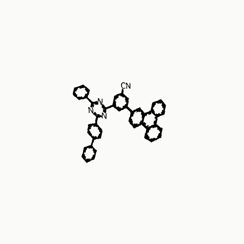 N#Cc1cc(-c2ccc3c4ccccc4c4ccccc4c3c2)cc(-c2nc(-c3ccccc3)nc(-c3ccc(-c4ccccc4)cc3)n2)c1